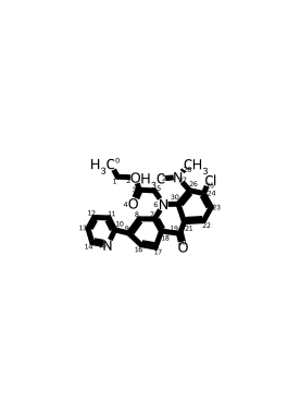 CCOC(=O)Cn1c2cc(-c3ccccn3)ccc2c(=O)c2ccc(Cl)c(N(C)C)c21